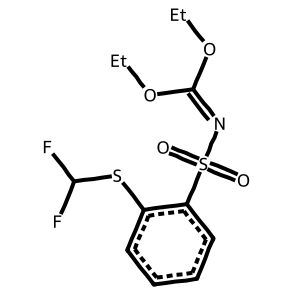 CCOC(=NS(=O)(=O)c1ccccc1SC(F)F)OCC